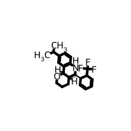 CC(C)c1ccc2c(c1)[C@H]1OCCC[C@H]1[C@H](C1C=CC=CC1C(F)(F)F)N2